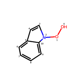 OOn1ccc2ccccc21